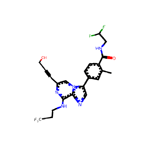 Cc1cc(-c2cnc3c(NCCC(F)(F)F)nc(C#CCO)cn23)ccc1C(=O)NCC(F)F